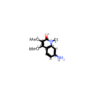 CCn1c(=O)c(OC)c(OC)c2ccc(N)cc21